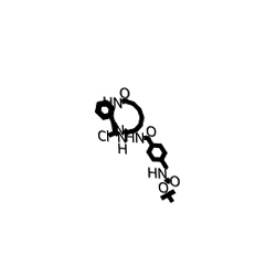 CC(C)(C)OC(=O)NCC1CCC(C(=O)NC2CCCCC(=O)Nc3ccccc3-c3nc2[nH]c3Cl)CC1